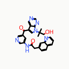 CC(C)(CO)n1cc(C(=O)c2cncc(NC(=O)Cc3ccc4cccnc4c3)c2)c2cncnc21